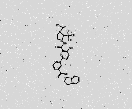 CC(C)(C)C1[C@@H](NC(=O)c2nc(-c3cccc(C(=O)N[C@H]4CCc5ccccc54)c3)cnc2N)CCN1C(=O)O